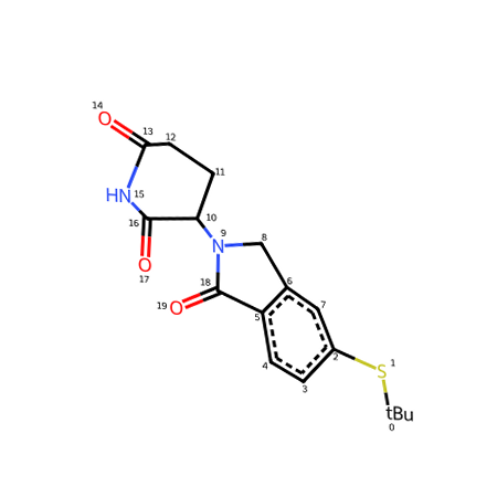 CC(C)(C)Sc1ccc2c(c1)CN(C1CCC(=O)NC1=O)C2=O